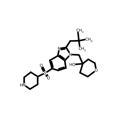 CC(C)(C)Cc1nc2cc(S(=O)(=O)C3CCNCC3)ccc2n1CC1(O)CCOCC1